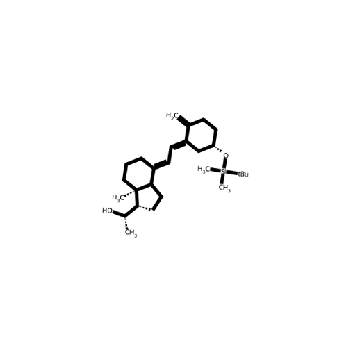 C=C1CC[C@H](O[Si](C)(C)C(C)(C)C)C/C1=C\C=C1/CCC[C@@]2(C)C1CC[C@@H]2[C@H](C)O